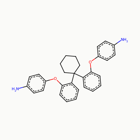 Nc1ccc(Oc2ccccc2C2(c3ccccc3Oc3ccc(N)cc3)CCCCC2)cc1